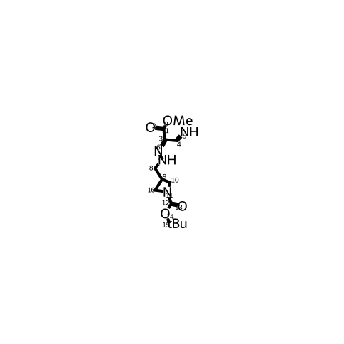 COC(=O)/C(C=N)=N/NCC1CN(C(=O)OC(C)(C)C)C1